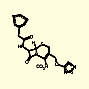 O=C(Cc1ccccc1)NC1C(=O)N2C(C(=O)O)=C(COc3cnsn3)CS[C@@H]12